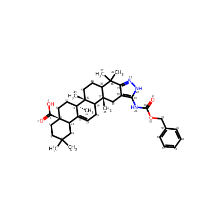 CC1(C)CC[C@]2(C(=O)O)CC[C@]3(C)C(=CCC4[C@@]5(C)Cc6c(n[nH]c6NC(=O)OCc6ccccc6)C(C)(C)C5CC[C@]43C)C2C1